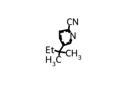 CCC(C)(C)c1ccc(C#N)nc1